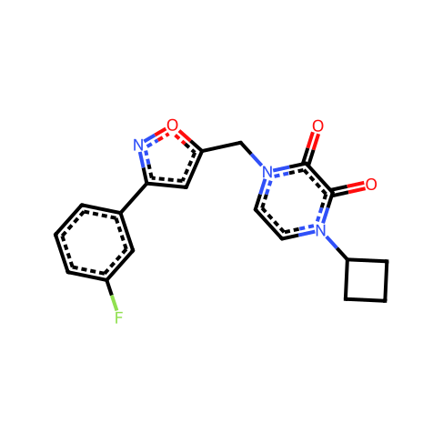 O=c1c(=O)n(C2CCC2)ccn1Cc1cc(-c2cccc(F)c2)no1